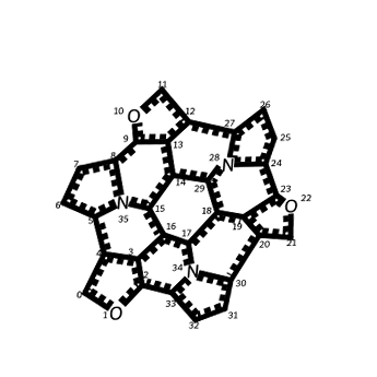 c1oc2c3c1c1ccc4c5occ6c5c5c(c3c3c7c8c(coc8c8ccc6n8c57)c5ccc2n53)n14